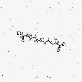 CCC(=O)NCCCSSCCNC(=O)CC